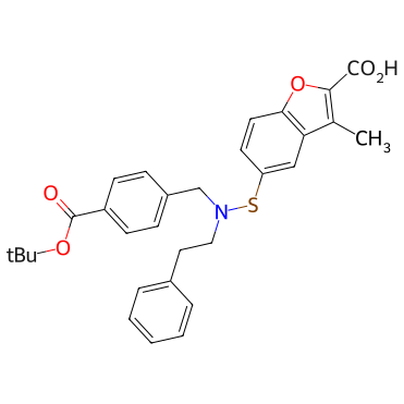 Cc1c(C(=O)O)oc2ccc(SN(CCc3ccccc3)Cc3ccc(C(=O)OC(C)(C)C)cc3)cc12